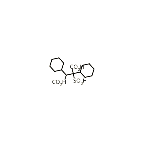 O=C(O)C(C1CCCCC1)C(C(=O)O)(C1CCCCC1)S(=O)(=O)O